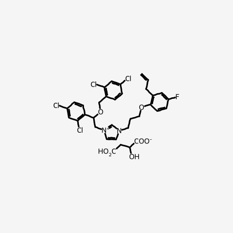 C=CCc1cc(F)ccc1OCCCn1cc[n+](CC(OCc2ccc(Cl)cc2Cl)c2ccc(Cl)cc2Cl)c1.O=C(O)CC(O)C(=O)[O-]